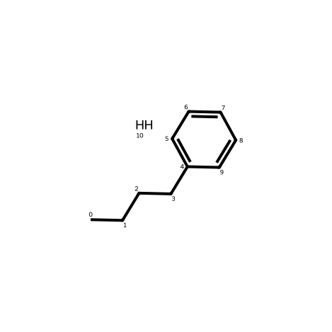 CCCCc1ccccc1.[HH]